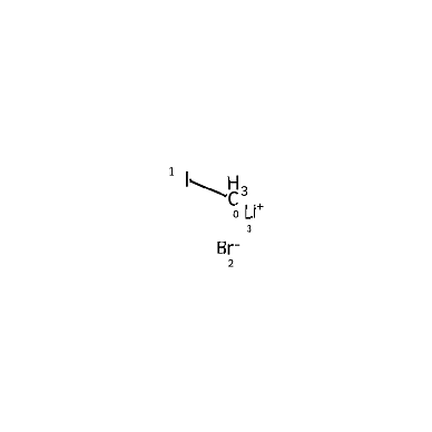 CI.[Br-].[Li+]